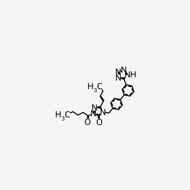 CCC=Cc1nn(C(=O)CCCC)c(=O)n1Cc1ccc(-c2cccc(-c3nnn[nH]3)c2)cc1